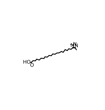 Cc1nnn(C)c1CCCCCCCCCCCCCCCCCCCCC(=O)O